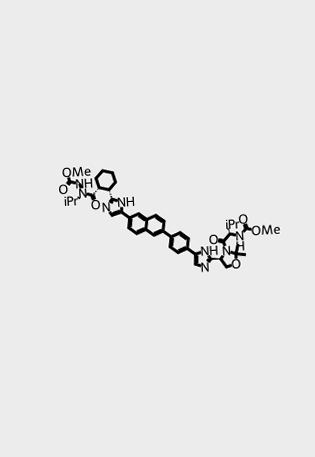 COC(=O)N[C@H](C(=O)N1[C@H](c2ncc(-c3ccc(-c4ccc5cc(-c6cnc([C@H]7CCCC[C@H]7C(=O)N(NC(=O)OC)C(C)C)[nH]6)ccc5c4)cc3)[nH]2)COC1(C)C)C(C)C